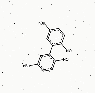 CCCCc1ccc(N=O)c(-c2cc(CCCC)ccc2N=O)c1